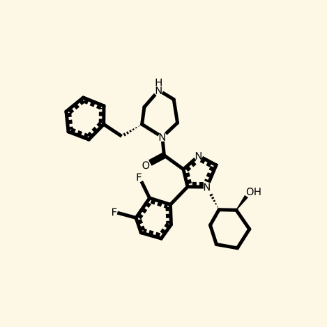 O=C(c1ncn([C@H]2CCCC[C@@H]2O)c1-c1cccc(F)c1F)N1CCNC[C@H]1Cc1ccccc1